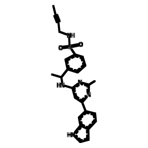 CC#CCNS(=O)(=O)c1cccc(C(C)Nc2cc(-c3ccc4cc[nH]c4c3)nc(C)n2)c1